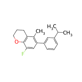 Cc1c(-c2cccc(C(C)C)c2)cc(F)c2c1CCCO2